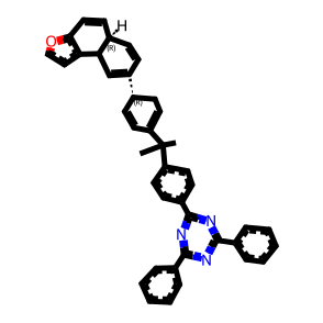 CC(C)(C1=CC[C@@H](C2=CC3c4ccoc4C=C[C@H]3C=C2)C=C1)c1ccc(-c2nc(-c3ccccc3)nc(-c3ccccc3)n2)cc1